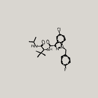 CC(C)NC(=O)[C@@H](NC(=O)c1nn(Cc2ccc(F)cc2)c2ccc(Cl)cc12)C(C)(C)C